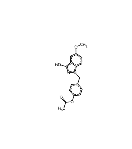 COc1ccc2c(c1)c(O)nn2Cc1ccc(OC(C)=O)cc1